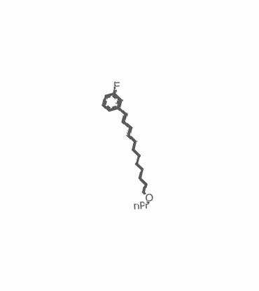 CCCOCCCCCCCCCCCCc1cccc(F)c1